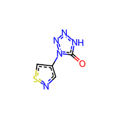 O=c1[nH]nnn1-c1cnsc1